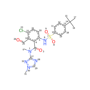 CN(C(=O)c1c(NS(=O)(=O)c2ccc(C(C)(C)C)cc2)ccc(Cl)c1C=O)c1ncn(C)n1